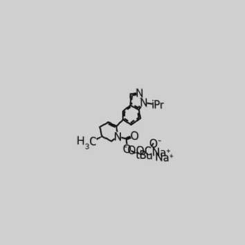 CC(C)n1ncc2cc(C3=CC[C@H](C)CN3C(=O)OC(C)(C)C)ccc21.O=C([O-])[O-].[Na+].[Na+]